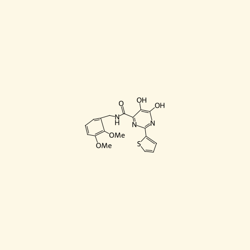 COc1cccc(CNC(=O)c2nc(-c3cccs3)nc(O)c2O)c1OC